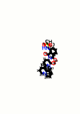 CS(=O)(=O)Nc1cccc2c1C(=O)N(C1CC[C@@H]3[C@H]4CCCN5CCC[C@@H](CN3C1=O)[C@@H]45)C2=O